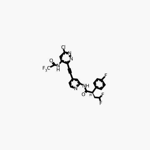 O=C(Nc1cc(C#Cc2nnc(Cl)cc2NC(=O)C(F)(F)F)ccn1)[C@H](CC(F)F)c1ccc(F)cc1